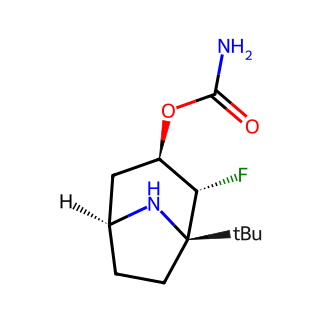 CC(C)(C)[C@]12CC[C@@H](C[C@@H](OC(N)=O)[C@@H]1F)N2